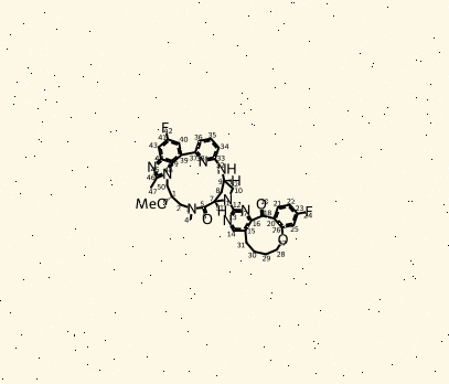 CO[C@H]1CN(C)C(=O)[C@@H]2C[C@@H](CN2c2ncc3c(n2)C(=O)c2ccc(F)cc2OCCCC3)Nc2cccc(n2)-c2cc(F)cc3nc(C)n(c23)C1